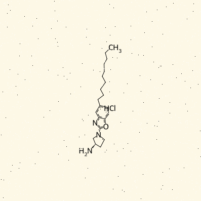 CCCCCCCCCCc1ccc2oc(N3CC[C@@H](N)C3)nc2c1.Cl